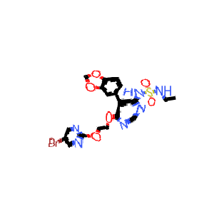 CCNS(=O)(=O)Nc1ncnc(OCCOc2ncc(Br)cn2)c1-c1ccc2c(c1)OCO2